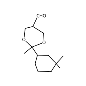 CC1(C)CCCC(C2(C)OCC(C=O)CO2)C1